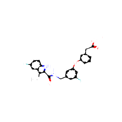 Cc1c(C(=O)NCc2cc(F)cc(Oc3cccc(CC(=O)O)c3)c2)[nH]c2ccc(F)cc12